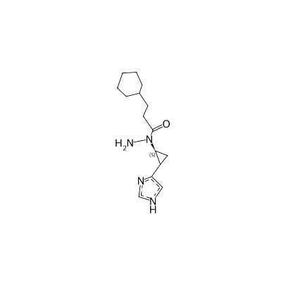 NN(C(=O)CCC1CCCCC1)[C@H]1CC1c1c[nH]cn1